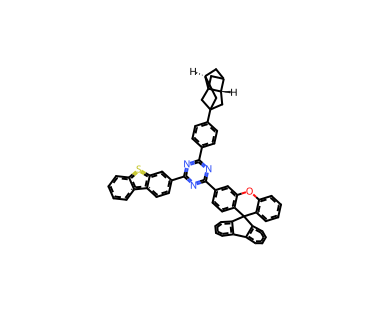 c1ccc2c(c1)Oc1cc(-c3nc(-c4ccc(C56C[C@@H]7CC8CC7(C5)[C@H]8C6)cc4)nc(-c4ccc5c(c4)sc4ccccc45)n3)ccc1C21c2ccccc2-c2ccccc21